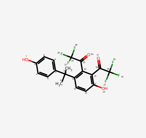 CC(C)(c1ccc(O)cc1)c1ccc(O)c(C(=O)C(F)(F)F)c1C(=O)C(F)(F)F